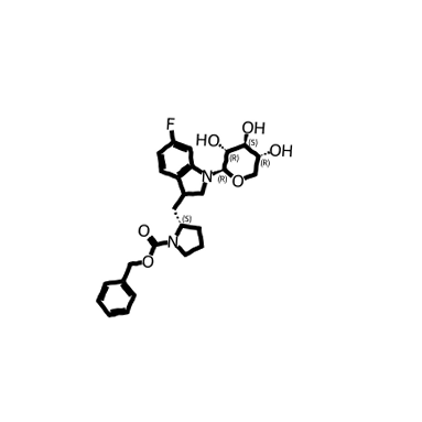 O=C(OCc1ccccc1)N1CCC[C@H]1CC1CN([C@@H]2OC[C@@H](O)[C@H](O)[C@H]2O)c2cc(F)ccc21